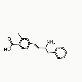 Cc1cc(/C=C/[C@@H](N)Cc2ccccc2)ccc1C(=O)O